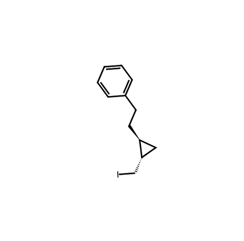 IC[C@H]1C[C@@H]1CCc1ccccc1